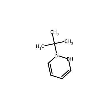 CC(C)(C)N1BC=CC=C1